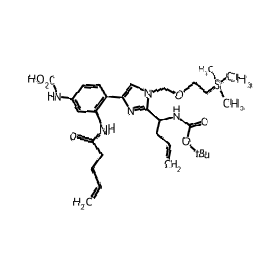 C=CCCC(=O)Nc1cc(NC(=O)O)ccc1-c1cn(COCC[Si](C)(C)C)c(C(CC=C)NC(=O)OC(C)(C)C)n1